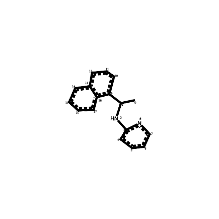 CC(Nc1ccccn1)c1cccc2ccccc12